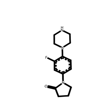 O=C1CCCN1c1ccc(N2CCNCC2)c(F)c1